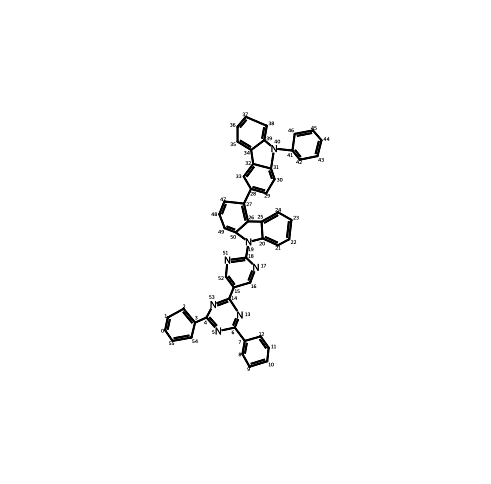 c1ccc(-c2nc(-c3ccccc3)nc(-c3cnc(-n4c5ccccc5c5c(-c6ccc7c(c6)c6ccccc6n7-c6ccccc6)cccc54)nc3)n2)cc1